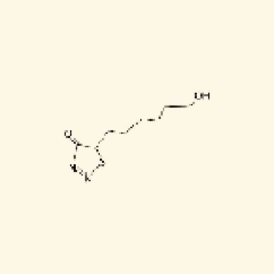 O=C1N=NSC1CCCCCCO